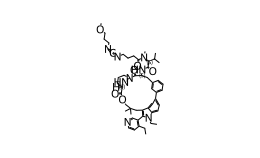 CCc1ccncc1-c1c2c3cc(ccc3n1CC)-c1cccc(c1)C[C@H](NC(=O)[C@H](C(C)C)N(C)C(=O)CCCN=C=NCCCOC)C(=O)N1CCC[C@H](N1)C(=O)OCC(C)(C)C2